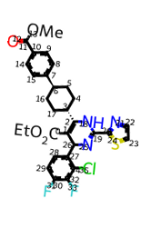 CCOC(=O)C1=C([C@H]2CC[C@H](c3ccc(C(=O)OC)cc3)CC2)NC(c2nccs2)=NC1c1ccc(F)c(F)c1Cl